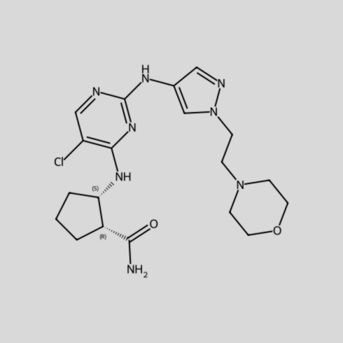 NC(=O)[C@@H]1CCC[C@@H]1Nc1nc(Nc2cnn(CCN3CCOCC3)c2)ncc1Cl